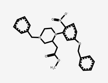 COC(=O)CC1CN(Cc2ccccc2)CCN1c1cc(OCc2ccccc2)ccc1[N+](=O)[O-]